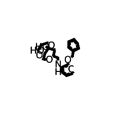 OC1C2OCCCOC(C(CNc3ccccc3OCc3ccccc3)O2)C1O